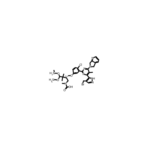 C[SiH2]OC(O[SiH2]C)C(C)(C)[C@H](COc1ccc(Cl)c(-c2nc(-c3[nH]ncc3CBr)c(C)c(N3Cc4cccnc4C3)n2)c1)CN(C)C(=O)O